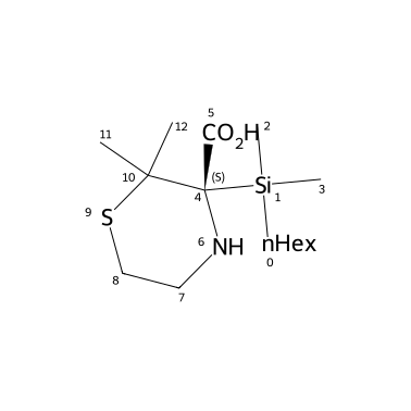 CCCCCC[Si](C)(C)[C@]1(C(=O)O)NCCSC1(C)C